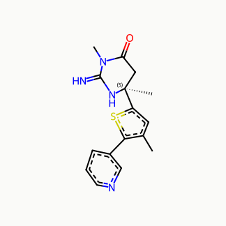 Cc1cc([C@]2(C)CC(=O)N(C)C(=N)N2)sc1-c1cccnc1